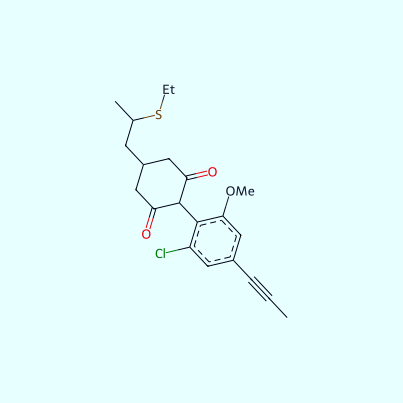 CC#Cc1cc(Cl)c(C2C(=O)CC(CC(C)SCC)CC2=O)c(OC)c1